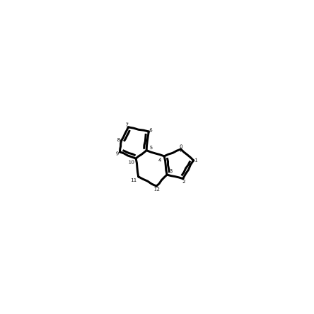 [CH]1C=CC2=C1c1ccccc1CC2